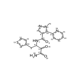 Cn1ncc(C(=O)NC(Cc2ccsc2)C(=O)C(N)=O)c1-c1ccccn1